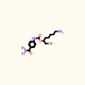 CCN(CC)C(=O)c1ccc(NC(=O)OC(CC#N)CCCCCN)cc1